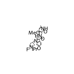 COc1cc(C)[nH]c(=O)c1CNC(=O)c1c(C)n([C@@H](C)C2CCN(CF)CC2)c2cc(OC(C)C)ccc12